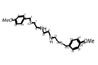 COc1ccc(CSCCNCCNCCSCc2ccc(OC)cc2)cc1